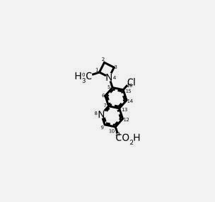 CC1CCN1c1cc2ncc(C(=O)O)cc2cc1Cl